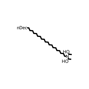 CCCCCCCCCCCCCCCCCCCCCCCCCCCCCCN(C(C)O)C(C)O